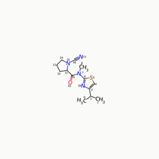 CC(C)c1csc(N(C)C(=O)C2CCCN2C#N)n1